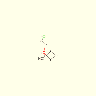 N#CC1(OCCCl)CCC1